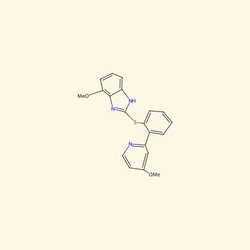 COc1ccnc(-c2ccccc2Sc2nc3c(OC)cccc3[nH]2)c1